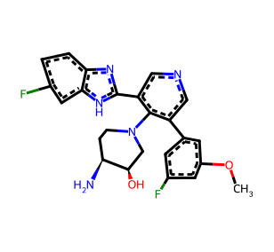 COc1cc(F)cc(-c2cncc(-c3nc4ccc(F)cc4[nH]3)c2N2CC[C@H](N)[C@H](O)C2)c1